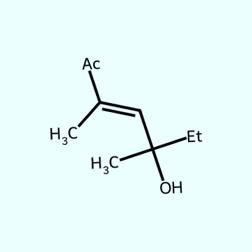 CCC(C)(O)C=C(C)C(C)=O